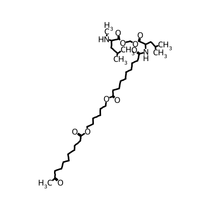 CNC(CC(C)C)C(=O)OCOC(=O)C(CC(C)C)NC(=O)CCCCCCCCC(=O)OCCCCCCOC(=O)CCCCCCCCC(C)=O